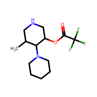 CC1CNCC(OC(=O)C(F)(F)F)C1N1CCCCC1